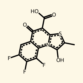 Cc1sc2c(C(=O)O)c(=O)c3cc(F)c(F)c(F)c3n2c1O